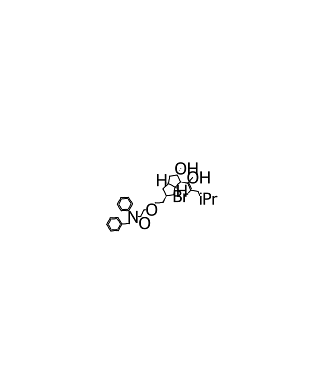 CC(C)CC(Br)=C(O)[C@H]1[C@@H]2C[C@@H](CCOCC(=O)N(Cc3ccccc3)c3ccccc3)C[C@H]2C[C@@H]1O